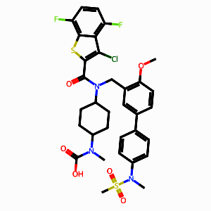 COc1ccc(-c2ccc(N(C)S(C)(=O)=O)cc2)cc1CN(C(=O)c1sc2c(F)ccc(F)c2c1Cl)C1CCC(N(C)C(=O)O)CC1